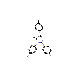 Cc1ccc(C2=NC(c3ccc(Cl)cc3)N(c3ccc(Cl)cc3)C2C)cc1